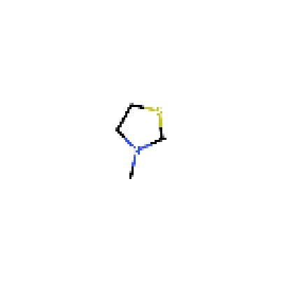 CN1[CH]SCC1